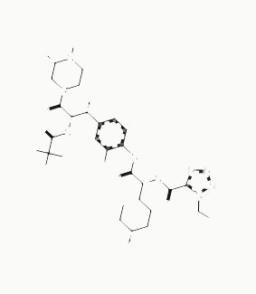 CCn1nnnc1C(=O)N[C@H](C(=O)Nc1ccc([C@H](C)[C@@H](NC(=O)C(C)(F)F)C(=O)N2CCN(C)[C@H](C)C2)cc1F)[C@H]1CC[C@H](C)CC1